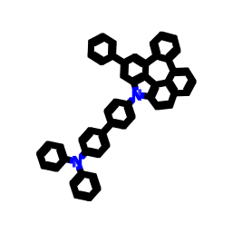 c1ccc(-c2cc3c4c5c6c(cccc6ccc5n(-c5ccc(-c6ccc(N(c7ccccc7)c7ccccc7)cc6)cc5)c4c2)-c2ccccc2-3)cc1